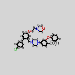 O=C(O)c1ccc(N2CCN(Cc3cc(OCCN4CCOCC4)ccc3-c3ccc(Cl)cc3)CC2)cc1Oc1ccccc1